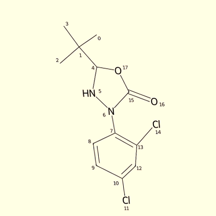 CC(C)(C)C1NN(c2ccc(Cl)cc2Cl)C(=O)O1